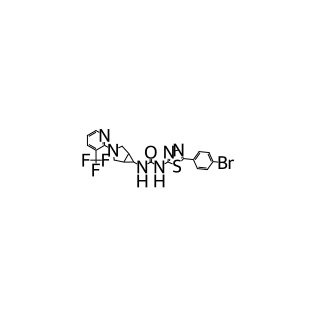 O=C(Nc1nnc(-c2ccc(Br)cc2)s1)NC1C2CN(c3ncccc3C(F)(F)F)CC21